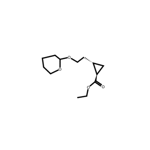 CCOC(=O)[C@@H]1C[C@H]1CCOC1CCCCO1